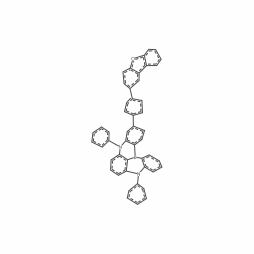 c1ccc(N2c3ccccc3B3c4ccc(-c5ccc(-c6ccc7oc8ccccc8c7c6)cc5)cc4N(c4ccccc4)c4cccc2c43)cc1